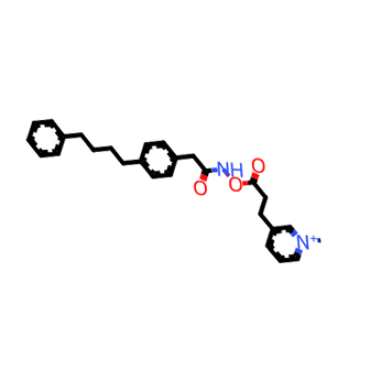 C[n+]1cccc(CCC(=O)ONC(=O)Cc2ccc(CCCCc3ccccc3)cc2)c1